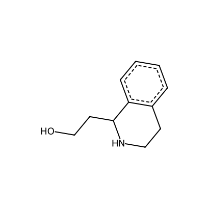 OCCC1NCCc2ccccc21